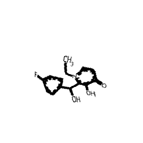 CCn1ccc(=O)c(O)c1C(O)c1ccc(F)cc1